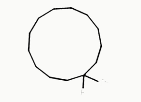 CC(C)C1(F)CCCCCCCCCCCC1